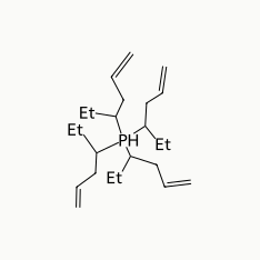 C=CCC(CC)[PH](C(CC)CC=C)(C(CC)CC=C)C(CC)CC=C